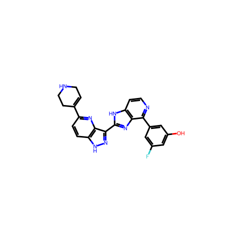 Oc1cc(F)cc(-c2nccc3[nH]c(-c4n[nH]c5ccc(C6=CCNCC6)nc45)nc23)c1